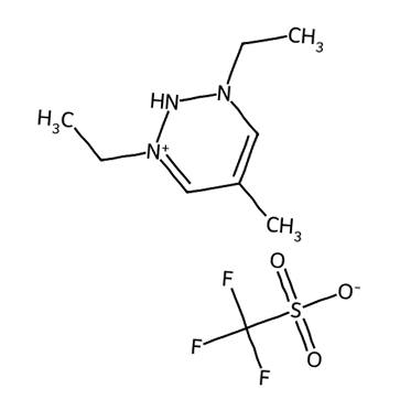 CCN1C=C(C)C=[N+](CC)N1.O=S(=O)([O-])C(F)(F)F